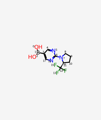 OB(O)c1cnc(N2CCC[C@H]2C(F)(F)F)nc1